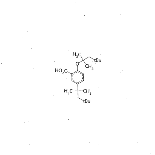 CC(C)(C)CC(C)(C)Oc1ccc(C(C)(C)CC(C)(C)C)cc1C(=O)O